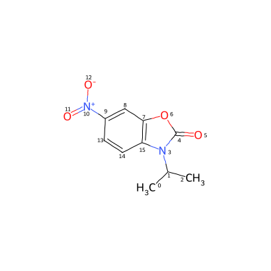 CC(C)n1c(=O)oc2cc([N+](=O)[O-])ccc21